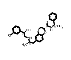 C[C@H](Cc1ccc2c(c1)OC[C@H](C(=O)N[C@@H](C)c1ccccc1)O2)NC[C@H](O)c1cccc(Cl)c1